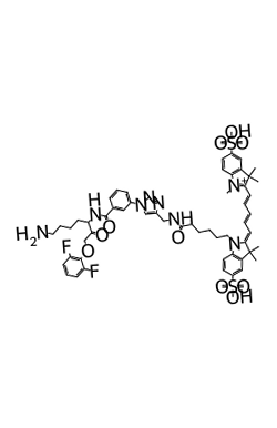 C[N+]1=C(/C=C/C=C/C=C2\N(CCCCCC(=O)NCc3cn(-c4cccc(C(=O)NC(CCCCN)C(=O)COc5c(F)cccc5F)c4)nn3)c3ccc(S(=O)(=O)O)cc3C2(C)C)C(C)(C)c2cc(S(=O)(=O)O)ccc21